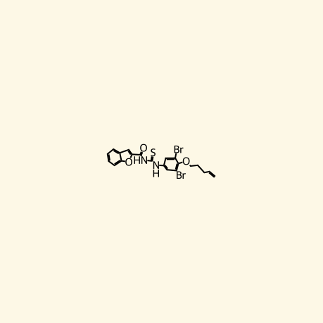 C=CCCCOc1c(Br)cc(NC(=S)NC(=O)c2cc3ccccc3o2)cc1Br